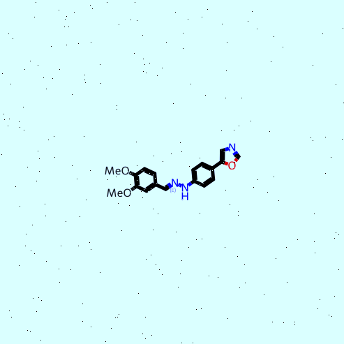 COc1ccc(/C=N/Nc2ccc(-c3cnco3)cc2)cc1OC